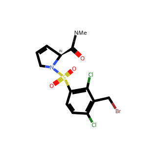 CNC(=O)[C@@H]1C=CCN1S(=O)(=O)c1ccc(Cl)c(CBr)c1Cl